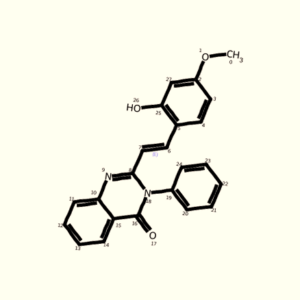 COc1ccc(/C=C/c2nc3ccccc3c(=O)n2-c2ccccc2)c(O)c1